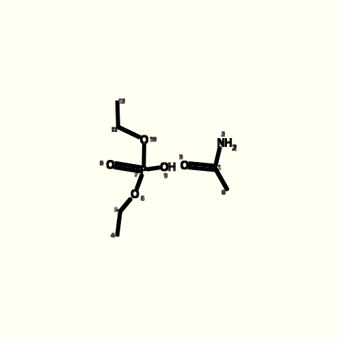 CC(N)=O.CCOP(=O)(O)OCC